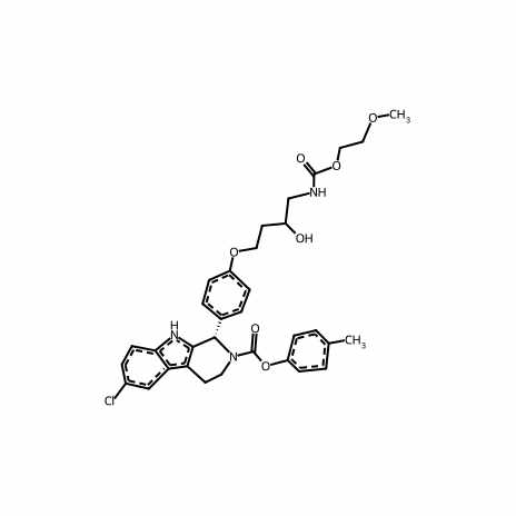 COCCOC(=O)NCC(O)CCOc1ccc([C@H]2c3[nH]c4ccc(Cl)cc4c3CCN2C(=O)Oc2ccc(C)cc2)cc1